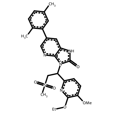 CCOc1nc(C(CS(C)(=O)=O)n2c(=O)[nH]c3cc(-c4cc(C)ccc4C)cnc32)ccc1OC